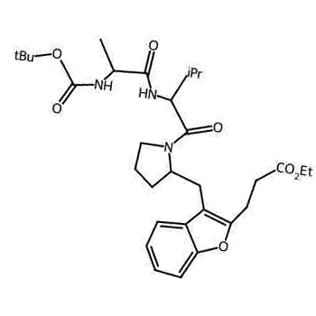 CCOC(=O)CCc1oc2ccccc2c1CC1CCCN1C(=O)C(NC(=O)C(C)NC(=O)OC(C)(C)C)C(C)C